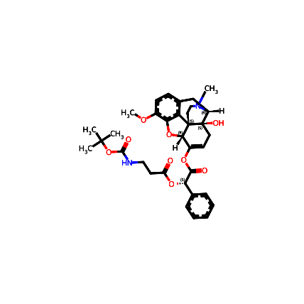 COc1ccc2c3c1O[C@H]1C(OC(=O)[C@@H](OC(=O)CCNC(=O)OC(C)(C)C)c4ccccc4)=CC[C@@]4(O)[C@@H](C2)N(C)CC[C@]314